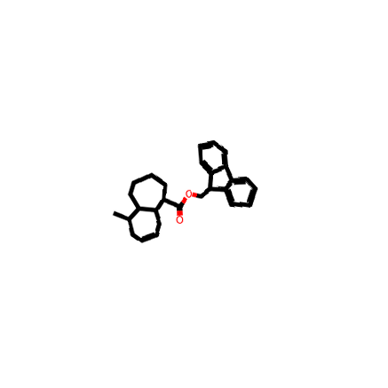 CC1CC=CCC2C(C(=O)OCC3c4ccccc4-c4ccccc43)CCCCC12